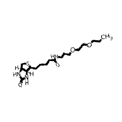 CCCOCCOCCCNC(=O)CCCCC1SC[C@@H]2NC(=O)N[C@H]12